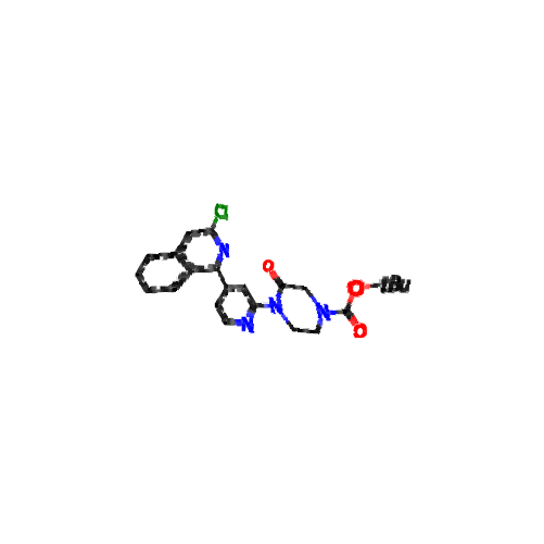 CC(C)(C)OC(=O)N1CCN(c2cc(-c3nc(Cl)cc4ccccc34)ccn2)C(=O)C1